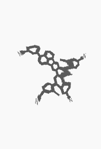 Cc1cc(C#N)ccc1-c1cc2c3cc4c(cc3c(-c3ccc(C#N)cc3C)cc2c2ccc(C#N)cc12)-c1cccc2c(-c3cccc(C#N)c3)ccc-4c12